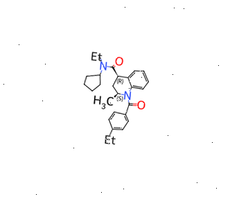 CCc1ccc(C(=O)N2c3ccccc3[C@H](C(=O)N(CC)C3CCCC3)C[C@@H]2C)cc1